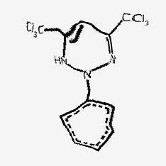 ClC(Cl)(Cl)C1=CC(C(Cl)(Cl)Cl)=NN(c2ccccc2)N1